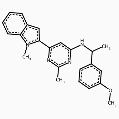 COc1cccc(C(C)Nc2cc(-c3cc4ccccc4n3C)nc(C)n2)c1